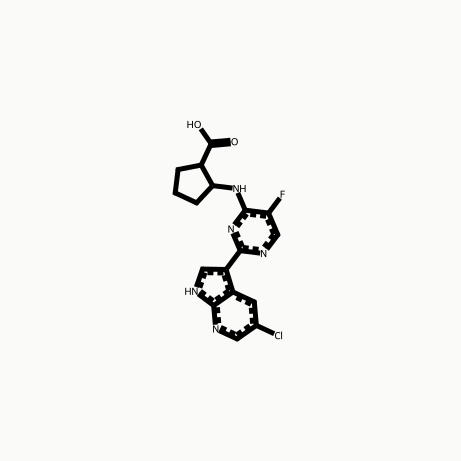 O=C(O)C1CCCC1Nc1nc(-c2c[nH]c3ncc(Cl)cc23)ncc1F